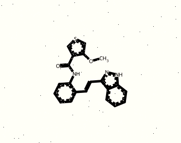 COc1cscc1C(=O)Nc1ccccc1/C=C/c1n[nH]c2ccccc12